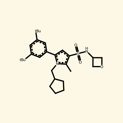 Cc1c(S(=O)(=O)NC2COC2)cc(-c2cc(C(C)(C)C)cc(C(C)(C)C)c2)n1CC1CCCC1